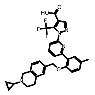 Cc1ccc(OCc2ccc3c(c2)CCN(C2CC2)C3)c(-c2cccc(-n3ncc(C(=O)O)c3C(F)(F)F)n2)c1